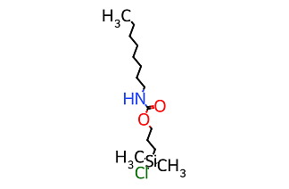 CCCCCCCCNC(=O)OCCC[Si](C)(C)Cl